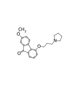 COc1ccc2c(c1)C(=O)c1cccc(OCCCN3CCCC3)c1-2